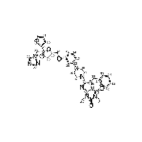 Cn1c(=O)c2c(nc(N3CCN(c4cccc(OCC5COC(Cn6cncn6)(c6cccs6)O5)c4)CC3)n2Cc2ccccc2)n(C)c1=O